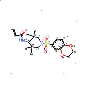 C=CC(=O)NC1C(C)(C)CN(S(=O)(=O)c2ccc3c(c2)OCCO3)CC1(C)C